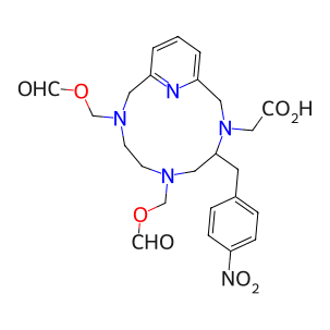 O=COCN1CCN(COC=O)CC(Cc2ccc([N+](=O)[O-])cc2)N(CC(=O)O)Cc2cccc(n2)C1